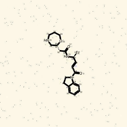 CC[C@@H](/C=C/C(=O)N1CCc2ccccc21)NC(=O)C[C@@H]1CNCCCO1